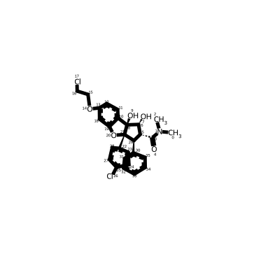 CN(C)C(=O)[C@H]1[C@@H](O)[C@@]2(O)c3ccc(OCCCl)cc3O[C@@]2(c2ccc(Cl)cc2)[C@@H]1c1ccccc1